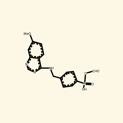 COc1ccc2c(NCc3ccc(P(=O)(O)OC=O)cc3)ncnc2c1